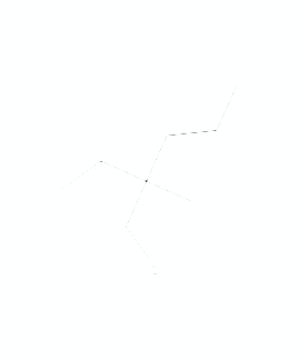 CCCC(C)(CC)C[S]